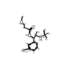 COCCC(=O)OC(c1cccc(Cl)c1)C(C)NC(C)(C)C